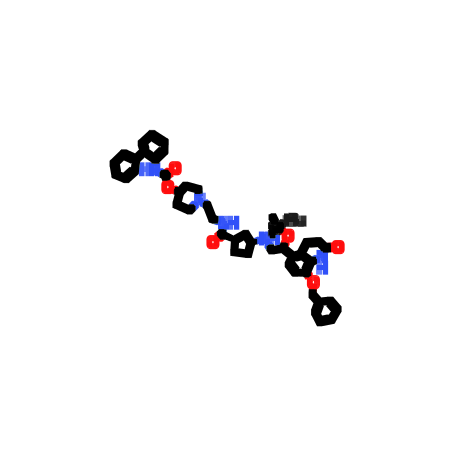 CC(C)(C)[Si](C)(C)OC(CN[C@H]1CC[C@@H](C(=O)NCCN2CCC(OC(=O)Nc3ccccc3-c3ccccc3)CC2)C1)c1ccc(OCc2ccccc2)c2[nH]c(=O)ccc12